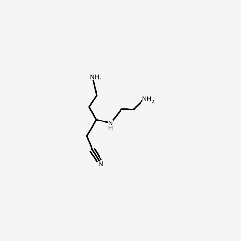 N#CCC(CCN)NCCN